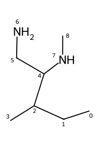 CCC(C)C(CN)NC